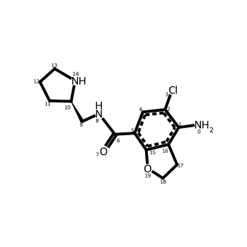 Nc1c(Cl)cc(C(=O)NC[C@H]2CCCN2)c2c1CCO2